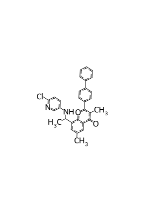 Cc1cc(C(C)Nc2ccc(Cl)nc2)c2oc(-c3ccc(-c4ccccc4)cc3)c(C)c(=O)c2c1